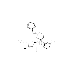 C=C/C(NC)=C(\Cl)C(=O)NC1(c2cccc(Br)c2)CCCN(Cc2ccccc2)C1